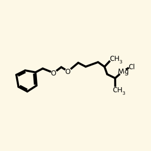 CC(CCCOCOCc1ccccc1)C[CH](C)[Mg][Cl]